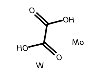 O=C(O)C(=O)O.[Mo].[W]